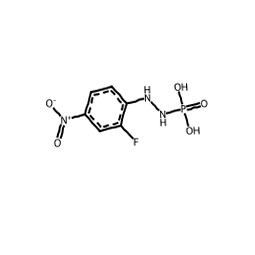 O=[N+]([O-])c1ccc(NNP(=O)(O)O)c(F)c1